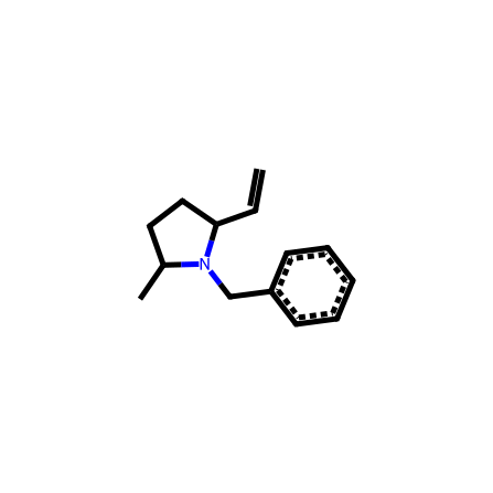 C=CC1CCC(C)N1Cc1ccccc1